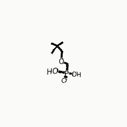 CC(C)(C)COCP(=O)(O)O